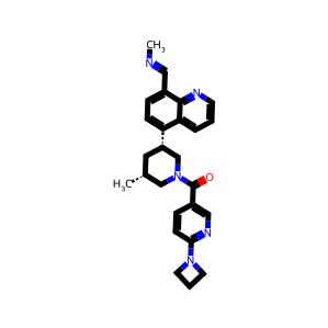 C/N=C/c1ccc([C@H]2C[C@@H](C)CN(C(=O)c3ccc(N4CCC4)nc3)C2)c2cccnc12